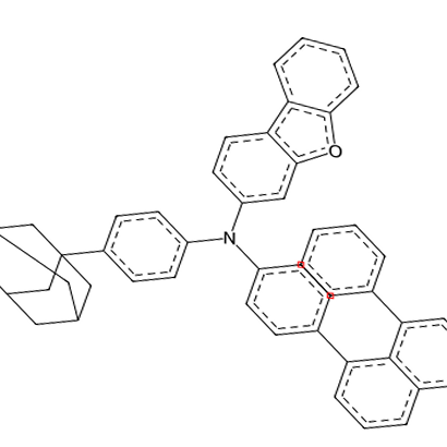 c1ccc(-c2cccc3cccc(-c4ccc(N(c5ccc(C67CC8CC(CC(C8)C6)C7)cc5)c5ccc6c(c5)oc5ccccc56)cc4)c23)cc1